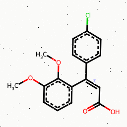 COc1cccc(/C(=C\C(=O)O)c2ccc(Cl)cc2)c1OC